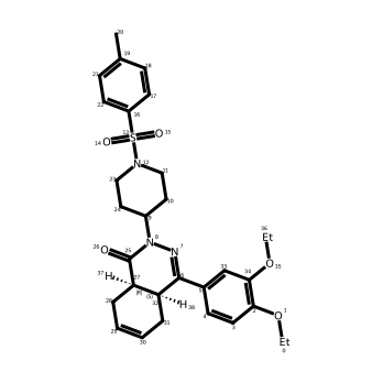 CCOc1ccc(C2=NN(C3CCN(S(=O)(=O)c4ccc(C)cc4)CC3)C(=O)[C@@H]3CC=CC[C@H]23)cc1OCC